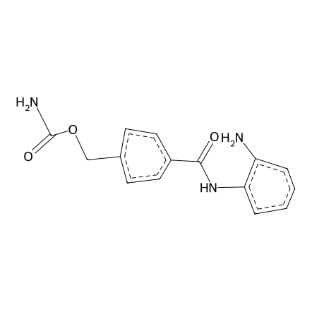 NC(=O)OCc1ccc(C(=O)Nc2ccccc2N)cc1